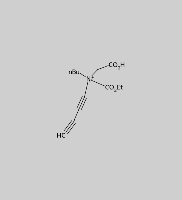 C#CC#C[N+](CCCC)(CC(=O)O)C(=O)OCC